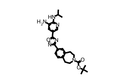 CC(C)Nc1ncc(-c2nc(-c3ccc4c(c3)CCN(C(=O)OC(C)(C)C)CC4)no2)cc1N